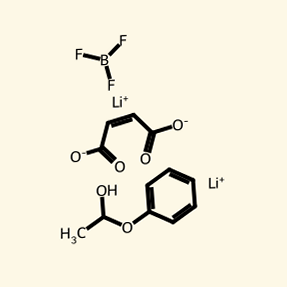 CC(O)Oc1ccccc1.FB(F)F.O=C([O-])/C=C\C(=O)[O-].[Li+].[Li+]